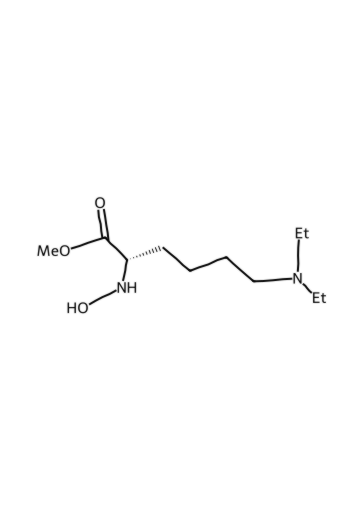 CCN(CC)CCCC[C@H](NO)C(=O)OC